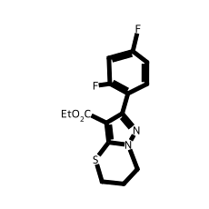 CCOC(=O)c1c(-c2ccc(F)cc2F)nn2c1SCCC2